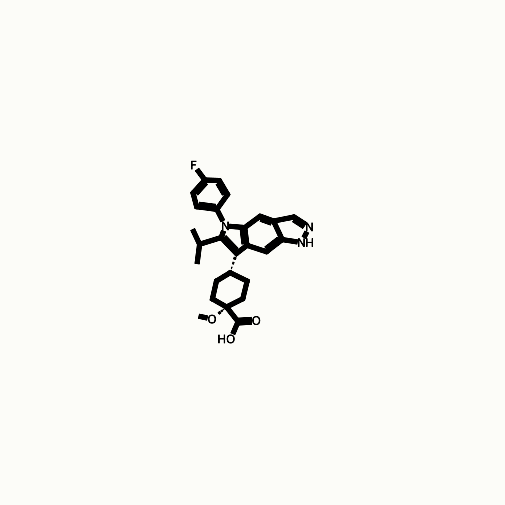 CO[C@]1(C(=O)O)CC[C@H](c2c(C(C)C)n(-c3ccc(F)cc3)c3cc4cn[nH]c4cc32)CC1